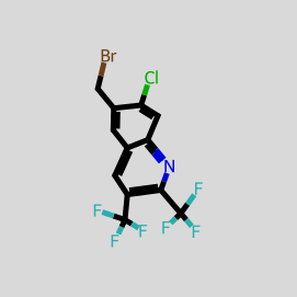 FC(F)(F)c1cc2cc(CBr)c(Cl)cc2nc1C(F)(F)F